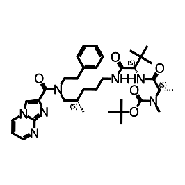 C[C@@H](CCCNC(=O)[C@@H](NC(=O)[C@H](C)N(C)C(=O)OC(C)(C)C)C(C)(C)C)CN(CCc1ccccc1)C(=O)c1cn2cccnc2n1